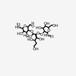 CCNC1OC(CO)C(OC(O)/C(OOC2C(NCC)OC(CO)C(O)C2O)=C(/O)C(O)CCO)C(O)C1O